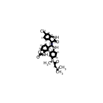 CN(C)CC(=O)N(C)c1ccc(N/C(=C2\C(=O)Nc3cc(Cl)ccc32)c2ccc3oc(=O)[nH]c3c2)cc1